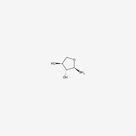 B[C@@H]1OC[C@H](O)[C@H]1O